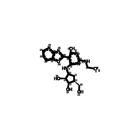 Cc1nc(NCC(F)(F)F)nc(NC2C[C@H](CO)[C@@H](O)[C@H]2O)c1-c1nc2ncccc2o1